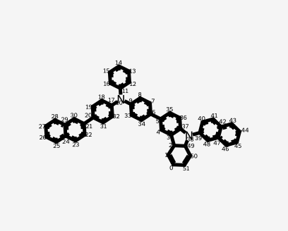 C1=CC2c3cc(-c4ccc(N(c5ccccc5)c5ccc(-c6ccc7ccccc7c6)cc5)cc4)ccc3N(c3ccc4ccccc4c3)C2C=C1